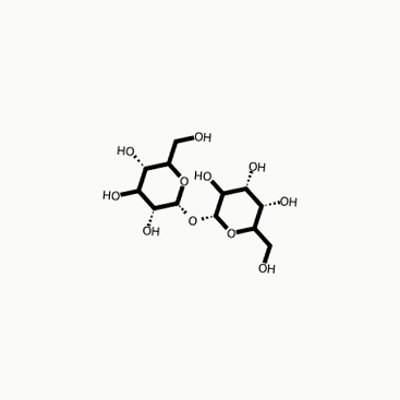 OCC1O[C@H](O[C@H]2OC(CO)[C@@H](O)[C@@H](O)C2O)[C@H](O)C(O)[C@@H]1O